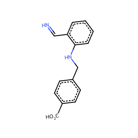 N=Cc1ccccc1NCc1ccc(C(=O)O)cc1